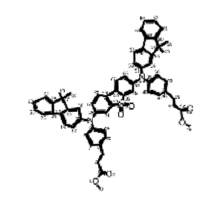 COC(=O)CCc1ccc(N(c2ccc3c(c2)C(C)(C)c2ccccc2-3)c2ccc3c(c2)S(=O)(=O)c2cc(N(c4ccc(CCC(=O)OC)cc4)c4ccc5c(c4)C(C)(C)c4ccccc4-5)ccc2-3)cc1